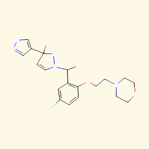 CC(c1cc(F)ccc1OCCN1CCOCC1)N1C=CC(O)(c2cn[nH]c2)N1